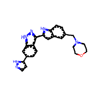 c1cc(-c2ccc3c(-c4cc5cc(CN6CCOCC6)ccc5[nH]4)n[nH]c3c2)[nH]n1